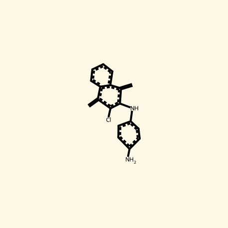 C=c1c(Cl)c(Nc2ccc(N)cc2)c(=C)c2ccccc12